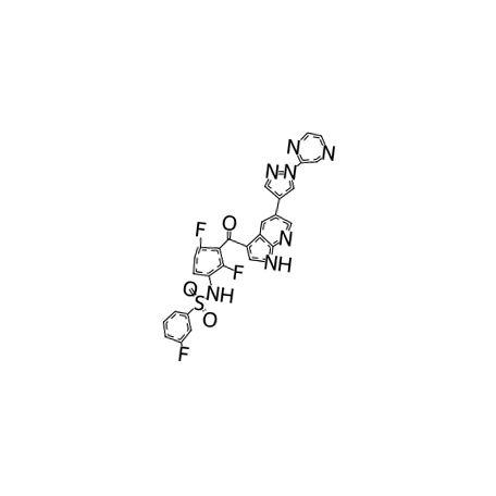 O=C(c1c(F)ccc(NS(=O)(=O)c2cccc(F)c2)c1F)c1c[nH]c2ncc(-c3cnn(-c4cnccn4)c3)cc12